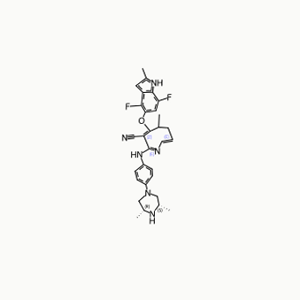 Cc1cc2c(F)c(O/C3=C(C#N)/C(Nc4ccc(N5C[C@@H](C)N[C@@H](C)C5)cc4)=N\C=C\CC3C)cc(F)c2[nH]1